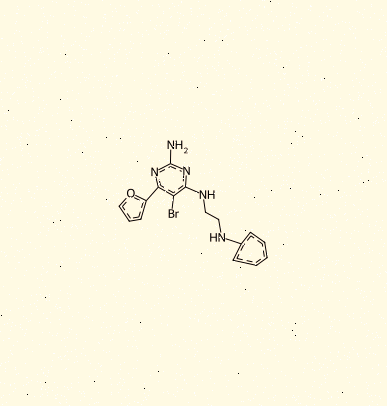 Nc1nc(NCCNc2ccccc2)c(Br)c(-c2ccco2)n1